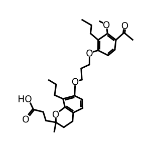 CCCc1c(OCCCOc2ccc(C(C)=O)c(OC)c2CCC)ccc2c1OC(C)(CCC(=O)O)CC2